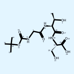 C[C@@H](O)[C@H](NC(=O)CNC(=O)OC(C)(C)C)C(=O)N[C@@H](CO)C(=O)O